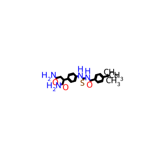 CC(C)(C)c1ccc(C(=O)NC(=S)Nc2ccc(C(CC(N)=O)C(N)=O)cc2)cc1